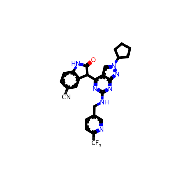 N#Cc1ccc2c(c1)C(c1nc(NCc3ccc(C(F)(F)F)nc3)nc3nn(C4CCCC4)cc13)C(=O)N2